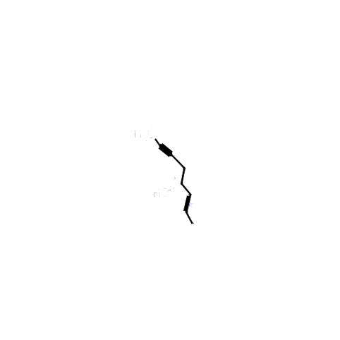 CC#CC[C@@H](O)/C=C/I